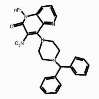 CCCn1c(=O)c([N+](=O)[O-])c(N2CCN(C(c3ccccc3)c3ccccc3)CC2)c2ncccc21